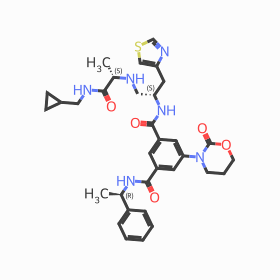 C[C@H](NC[C@H](Cc1cscn1)NC(=O)c1cc(C(=O)N[C@H](C)c2ccccc2)cc(N2CCCOC2=O)c1)C(=O)NCC1CC1